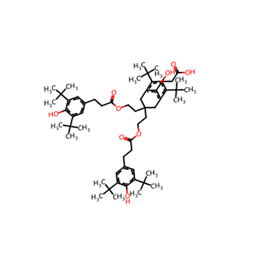 CC(C)(C)c1cc(CCC(=O)OCCC2(CCOC(=O)CCc3cc(C(C)(C)C)c(O)c(C(C)(C)C)c3)Cc3c(CCC(=O)O)c(c(C(C)(C)C)c(O)c3C(C)(C)C)C2)cc(C(C)(C)C)c1O